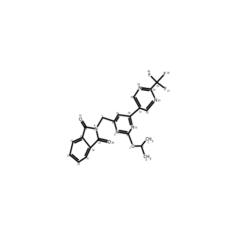 CC(C)Oc1nc(CN2C(=O)c3ccccc3C2=O)cc(-c2cnc(C(F)(F)F)nc2)n1